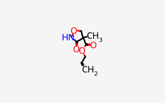 C=CCOC(=O)C1(C)CONC1=O